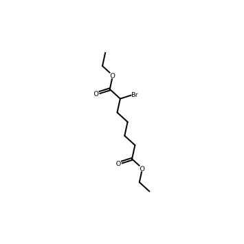 CCOC(=O)CCCCC(Br)C(=O)OCC